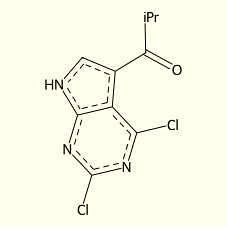 CC(C)C(=O)c1c[nH]c2nc(Cl)nc(Cl)c12